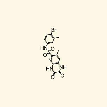 Cc1cc(NS(=O)(=O)c2nc3[nH]c(=O)c(=O)[nH]c3cc2C)ccc1Br